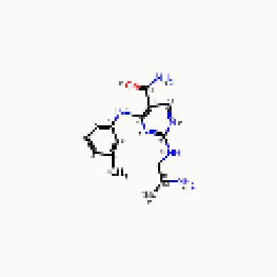 Cc1cccc(Nc2nc(NC[C@@H](N)C(C)(C)C)ncc2C(N)=O)c1